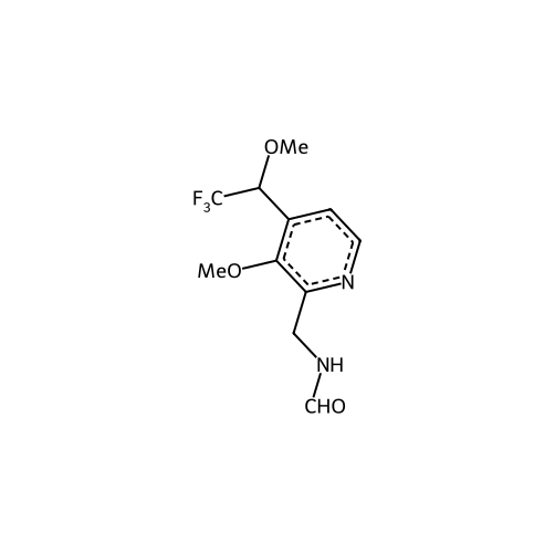 COc1c(C(OC)C(F)(F)F)ccnc1CNC=O